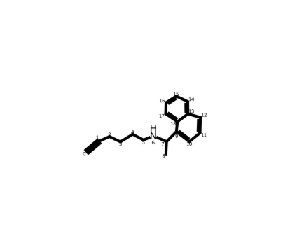 C#CCCCCNC(C)c1cccc2ccccc12